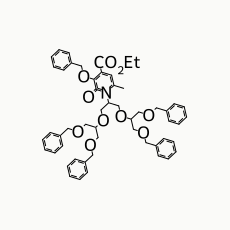 CCOC(=O)c1cc(C)n(C(COC(COCc2ccccc2)COCc2ccccc2)COC(COCc2ccccc2)COCc2ccccc2)c(=O)c1OCc1ccccc1